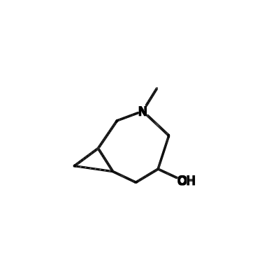 CN1CC(O)CC2CC2C1